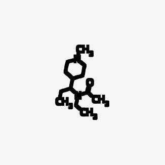 CCC(C1CCN(C)CC1)N(CC)C(C)=O